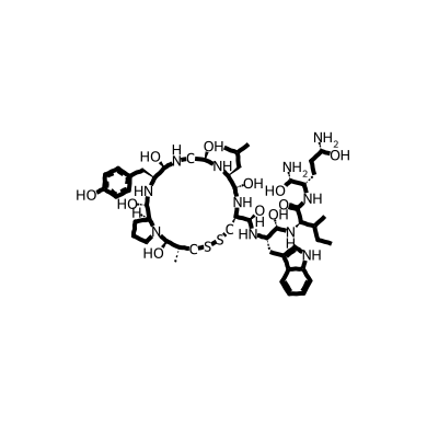 CCC(C)[C@H](N[C@@H](O)[C@H](CC1=CNC2C=CC=CC12)N[C@H](O)[C@@H]1CSSC[C@H](C)[C@@H](O)N2CCC[C@H]2[C@H](O)N[C@@H](Cc2ccc(O)cc2)[C@@H](O)NC[C@@H](O)N[C@@H](CC(C)C)[C@H](O)N1)C(=O)N[C@@H](CC[C@H](N)O)[C@@H](N)O